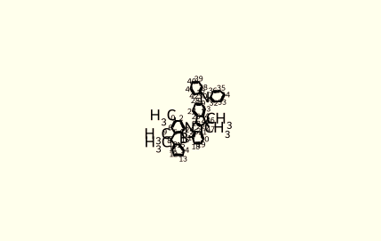 Cc1cc2c3c(c1)C(C)(C)c1ccccc1B3c1cccc3c4c(n-2c13)-c1ccc(N(c2ccccc2)c2ccccc2)cc1C4(C)C